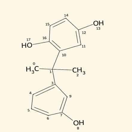 CC(C)(c1cccc(O)c1)c1cc(O)ccc1O